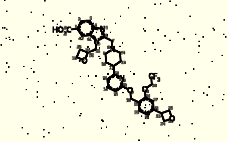 O=C(O)c1ccc2nc(CN3CCC(c4cccc(OCc5ccc(C6COC6)cc5OCC(F)(F)F)n4)CC3)n(C[C@@H]3CCO3)c2c1